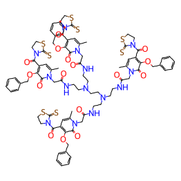 Cc1cc(C(=O)N2CCSC2=S)c(OCc2ccccc2)c(=O)n1CC(=O)NCCN(CCNC(=O)Cn1c(C)cc(C(=O)N2CCSC2=S)c(OCc2ccccc2)c1=O)CCN(CCNC(=O)Cn1c(C)cc(C(=O)N2CCSC2=S)c(OCc2ccccc2)c1=O)CCNC(=O)Cn1c(C)cc(C(=O)N2CCSC2=S)c(OCc2ccccc2)c1=O